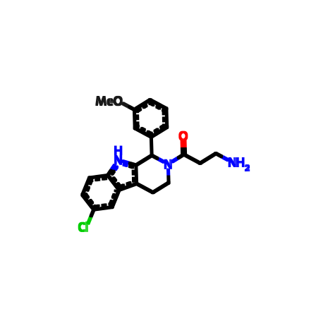 COc1cccc(C2c3[nH]c4ccc(Cl)cc4c3CCN2C(=O)CCN)c1